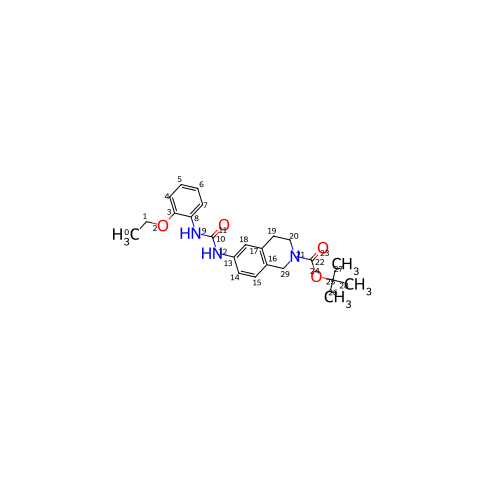 CCOc1ccccc1NC(=O)Nc1ccc2c(c1)CCN(C(=O)OC(C)(C)C)C2